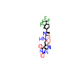 Cn1c(=O)c2c(CC(=O)Nc3nc(-c4ccc(C(F)(F)F)c(F)c4)cs3)snc2n(C)c1=O